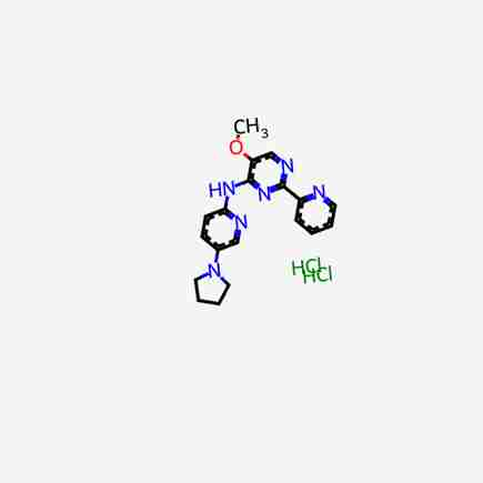 COc1cnc(-c2ccccn2)nc1Nc1ccc(N2CCCC2)cn1.Cl.Cl